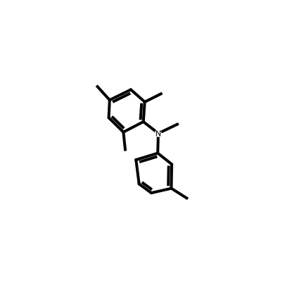 Cc1cccc(N(C)c2c(C)cc(C)cc2C)c1